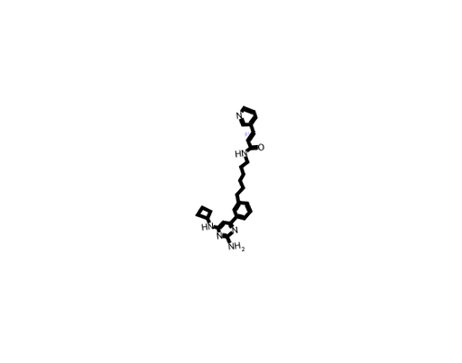 Nc1nc(NC2CCC2)cc(-c2cccc(CCCCCCNC(=O)/C=C/c3cccnc3)c2)n1